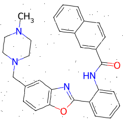 CN1CCN(Cc2ccc3oc(-c4ccccc4NC(=O)c4ccc5ccccc5c4)nc3c2)CC1